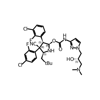 CN(C)C[C@H](O)Cn1ccc(NC(=O)O[C@H]2N[C@@H](CC(C)(C)C)[C@](C#N)(c3ccc(Cl)cc3F)[C@H]2c2cccc(Cl)c2F)n1